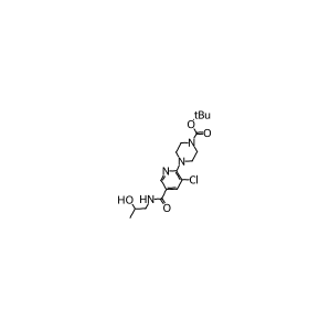 CC(O)CNC(=O)c1cnc(N2CCN(C(=O)OC(C)(C)C)CC2)c(Cl)c1